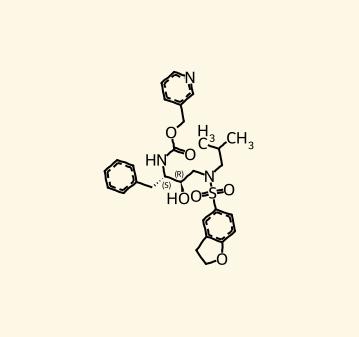 CC(C)CN(C[C@@H](O)[C@H](Cc1ccccc1)NC(=O)OCc1cccnc1)S(=O)(=O)c1ccc2c(c1)CCO2